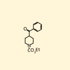 CCOC(=O)N1CCC(C(=O)c2ccccc2)CC1